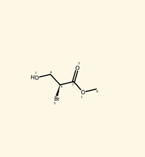 COC(=O)[C@@H](Br)CO